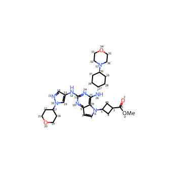 COC(=O)C1CC(n2ccc3nc(Nc4cnn(C5CCOCC5)c4)nc(N[C@H]4CC[C@H](N5CCOCC5)CC4)c32)C1